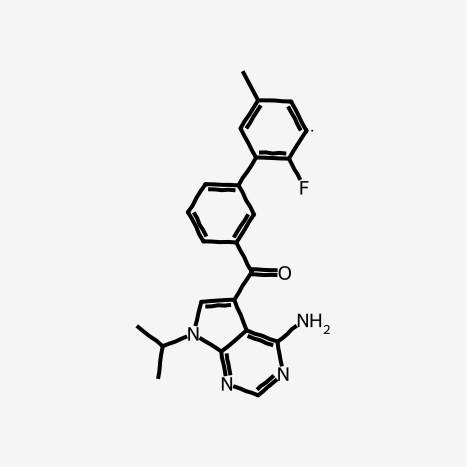 Cc1c[c]c(F)c(-c2cccc(C(=O)c3cn(C(C)C)c4ncnc(N)c34)c2)c1